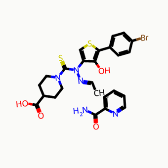 CC=NN(C(=S)N1CCC(C(=O)O)CC1)c1csc(-c2ccc(Br)cc2)c1O.NC(=O)c1ccccn1